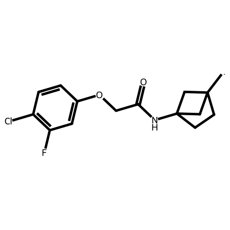 [CH2]C12CCC(NC(=O)COc3ccc(Cl)c(F)c3)(C1)C2